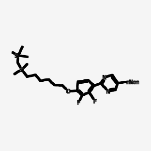 CCCCCCCCCc1cnc(-c2ccc(OCCCCCC[Si](C)(C)C[Si](C)(C)C)c(F)c2F)nc1